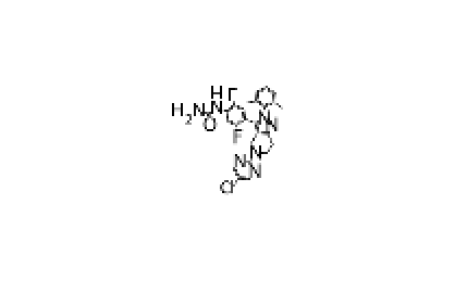 Cc1cccc(C)c1-n1nc2c(c1-c1cc(F)c(NC(N)=O)cc1F)CN(c1ncc(Cl)cn1)CC2